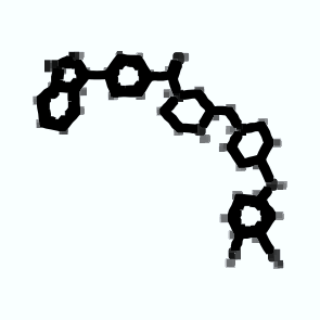 O=C(c1ccc(-c2n[nH]c3ccccc23)cc1)N1CCOC(CN2CCC(Oc3ccc(Cl)c(Cl)c3)CC2)C1